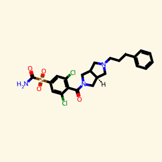 NC(=O)S(=O)(=O)c1cc(Cl)c(C(=O)N2CC3CN(CC[CH]c4ccccc4)C[C@H]3C2)c(Cl)c1